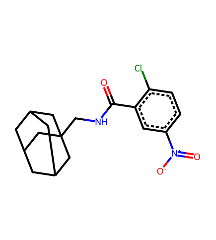 O=C(NCC12CC3CC(CC(C3)C1)C2)c1cc([N+](=O)[O-])ccc1Cl